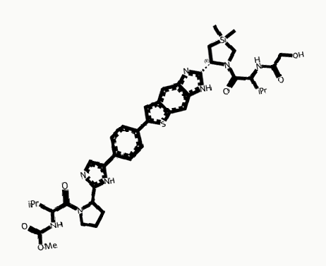 COC(=O)NC(C(=O)N1CCCC1c1ncc(-c2ccc(-c3cc4cc5nc([C@@H]6C[Si](C)(C)CN6C(=O)C(NC(=O)CO)C(C)C)[nH]c5cc4s3)cc2)[nH]1)C(C)C